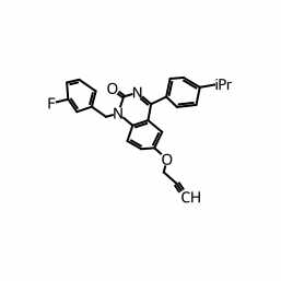 C#CCOc1ccc2c(c1)c(-c1ccc(C(C)C)cc1)nc(=O)n2Cc1cccc(F)c1